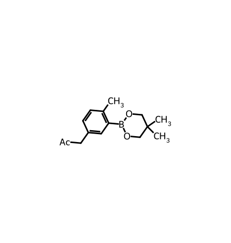 CC(=O)Cc1ccc(C)c(B2OCC(C)(C)CO2)c1